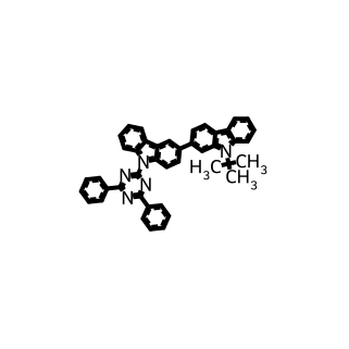 CC(C)(C)n1c2ccccc2c2ccc(-c3ccc4c(c3)c3ccccc3n4-c3nc(-c4ccccc4)nc(-c4ccccc4)n3)cc21